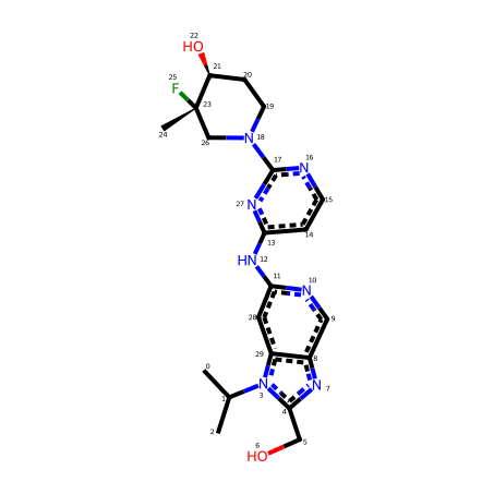 CC(C)n1c(CO)nc2cnc(Nc3ccnc(N4CC[C@H](O)[C@@](C)(F)C4)n3)cc21